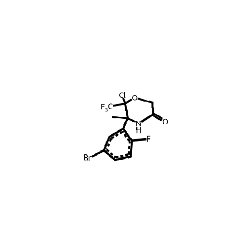 CC1(c2cc(Br)ccc2F)NC(=O)COC1(Cl)C(F)(F)F